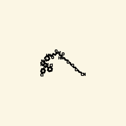 CN(CC(=O)NCCCOCCOCCOCCCC#N)C(=O)CCC(=O)NC1CCN(c2ncnc3c2nc(-c2ccccc2Cl)n3-c2ccc(Cl)cc2)CC1